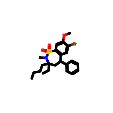 CCCCC1(CC)CC(c2ccccc2)c2cc(Br)c(OC)cc2S(=O)(=O)N1C